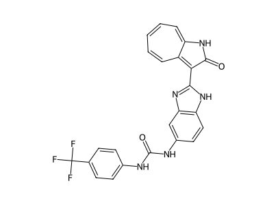 O=C(Nc1ccc(C(F)(F)F)cc1)Nc1ccc2[nH]c(-c3c4cccccc-4[nH]c3=O)nc2c1